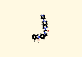 Cc1cccc2c1C(=O)N(c1ccc3ccn(CC(=O)N4CCC5(CC4)CCN(c4ccncc4)CC5)c3c1)C2